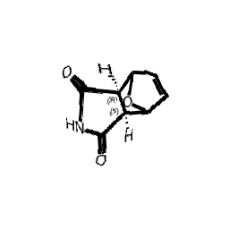 O=C1NC(=O)[C@H]2C3C=CC(O3)[C@@H]12